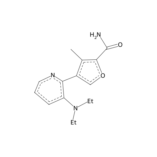 CCN(CC)c1cccnc1-c1coc(C(N)=O)c1C